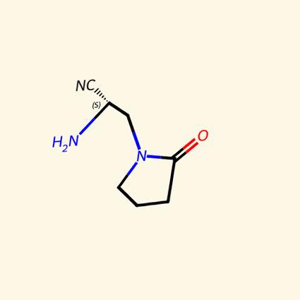 N#C[C@@H](N)CN1CCCC1=O